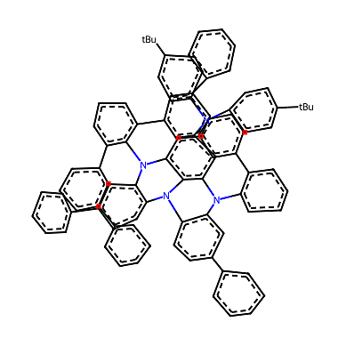 CC(C)(C)c1ccc(N(c2ccc(C(C)(C)C)cc2)c2cc3c4c(c2)N(c2c(-c5cccc(-c6ccccc6)c5)cccc2-c2cccc(-c5ccccc5)c2)c2cc(-c5ccccc5)ccc2N4c2ccc(-c4ccccc4)cc2N3c2ccccc2-c2ccccc2)cc1